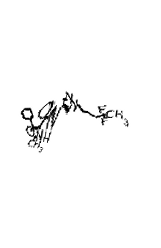 Cc1nc(C(=O)Nc2cnn(CCCCC(C)(F)F)c2)c(-c2ccccc2)o1